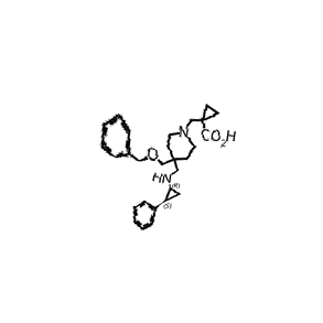 O=C(O)C1(CN2CCC(CN[C@@H]3C[C@H]3c3ccccc3)(COCc3ccccc3)CC2)CC1